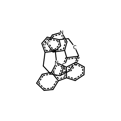 c1ccc2c(c1)c1ccccc1n2-c1cc2ccc1CCc1ccc(c(-c3cncnc3)c1)CC2